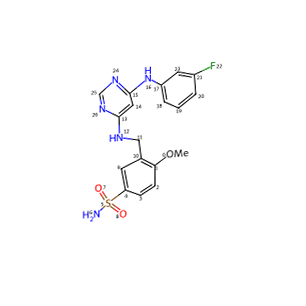 COc1ccc(S(N)(=O)=O)cc1CNc1cc(Nc2cccc(F)c2)ncn1